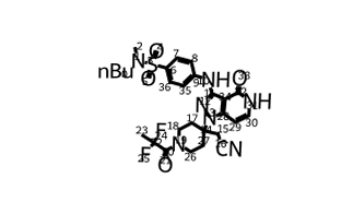 CCCCN(C)S(=O)(=O)c1ccc(Nc2nn(C3(CC#N)CCN(C(=O)C(C)(F)F)CC3)c3cc[nH]c(=O)c23)cc1